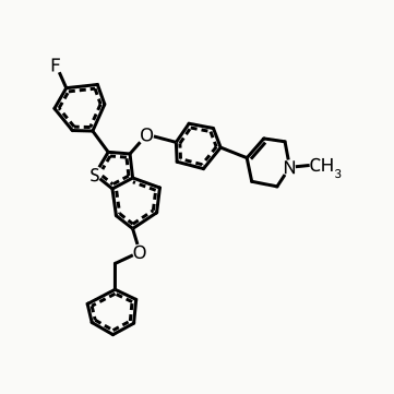 CN1CC=C(c2ccc(Oc3c(-c4ccc(F)cc4)sc4cc(OCc5ccccc5)ccc34)cc2)CC1